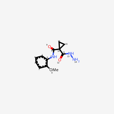 COc1ccccc1NC(=O)C1(C(=O)NN)CC1